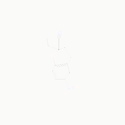 CCC1(C#N)CCc2cc([N+](=O)[O-])ccc2O1